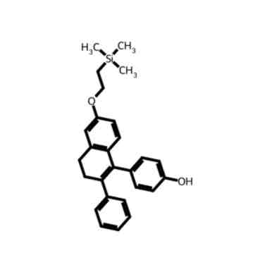 C[Si](C)(C)CCOc1ccc2c(c1)CCC(c1ccccc1)=C2c1ccc(O)cc1